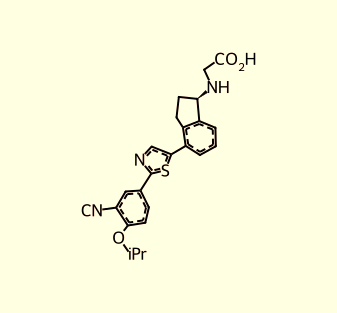 [C-]#[N+]c1cc(-c2ncc(-c3cccc4c3CC[C@H]4NCC(=O)O)s2)ccc1OC(C)C